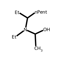 CCCCCC(CC)N(CC)C(C)O